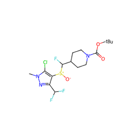 Cn1nc(C(F)F)c([S+]([O-])C(F)C2CCN(C(=O)OC(C)(C)C)CC2)c1Cl